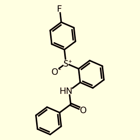 O=C(Nc1ccccc1[S+]([O-])c1ccc(F)cc1)c1ccccc1